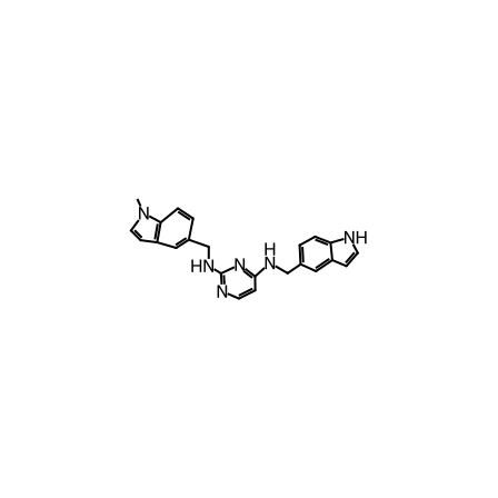 Cn1ccc2cc(CNc3nccc(NCc4ccc5[nH]ccc5c4)n3)ccc21